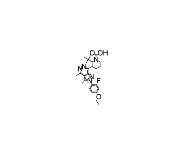 CCOc1ccc(-n2nc3c(C4CCCN(C(=O)O)C4C(C)(C)C)nnc(C)c3c2C)c(F)c1